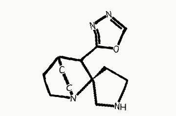 c1nnc(C2C3CCN(CC3)[C@]23CCNC3)o1